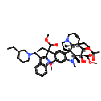 CCC1=CCCN(Cc2c(C(CC)(C(=O)OC)c3cc4c(cc3OC)N(C)[C@H]3[C@@](O)(C(=O)OC)[C@H](OC(C)=O)[C@@]5(CC)C=CCN6CC[C@]43[C@@H]65)[nH]c3ccccc23)C1